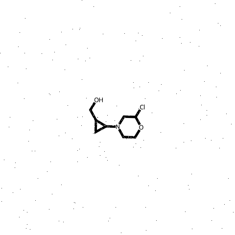 OCC1CC1N1CCOC(Cl)C1